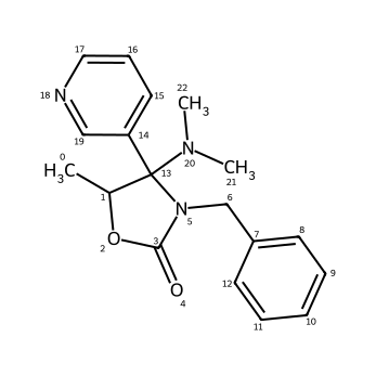 CC1OC(=O)N(Cc2ccccc2)C1(c1cccnc1)N(C)C